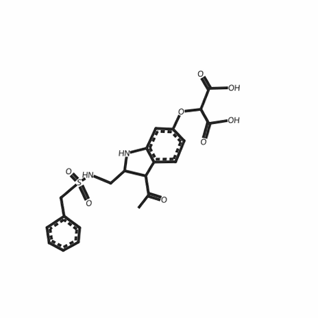 CC(=O)C1c2ccc(OC(C(=O)O)C(=O)O)cc2NC1CNS(=O)(=O)Cc1ccccc1